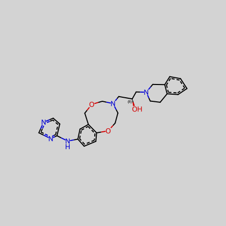 O[C@@H](CN1CCOc2ccc(Nc3ccncn3)cc2COC1)CN1CCc2ccccc2C1